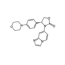 O=C1OC[C@H](c2ccc(N3CCOCC3)cc2)N1c1ccn2ccnc2c1